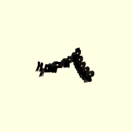 O.c1ccc2ncccc2c1.c1ccc2ncccc2c1.c1ccc2ncccc2c1.c1ccc2ncccc2c1.c1ccc2ncccc2c1.c1ccc2ncccc2c1.c1ccc2ncccc2c1